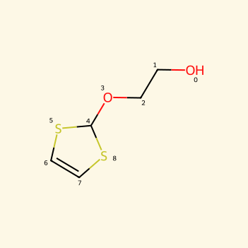 OCCOC1SC=CS1